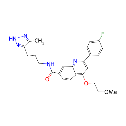 COCCOc1cc(-c2ccc(F)cc2)nc2cc(C(=O)NCCCc3n[nH]nc3C)ccc12